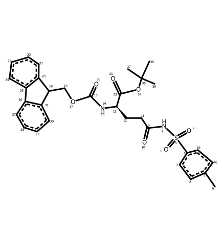 Cc1ccc(S(=O)(=O)NC(=O)CC[C@@H](NC(=O)OCC2c3ccccc3-c3ccccc32)C(=O)OC(C)(C)C)cc1